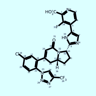 O=C(O)c1nccc(-c2cnc([C@@H]3CC[C@@H]4CC(c5cc(Cl)ccc5-n5cc(C(F)(F)F)nn5)=CC(=O)N43)[nH]2)c1F